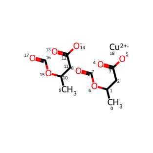 CC(CC(=O)[O-])OC=O.CC(CC(=O)[O-])OC=O.[Cu+2]